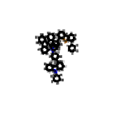 c1ccc(-c2cccc3c2sc2c(-c4ccc(N(c5ccc(-c6cccc7c6c6ccccc6n7-c6ccccc6)cc5)c5cccc6c5C5(c7ccccc7-c7ccccc75)c5ccccc5-6)cc4)cccc23)cc1